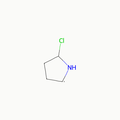 ClC1CC[CH]N1